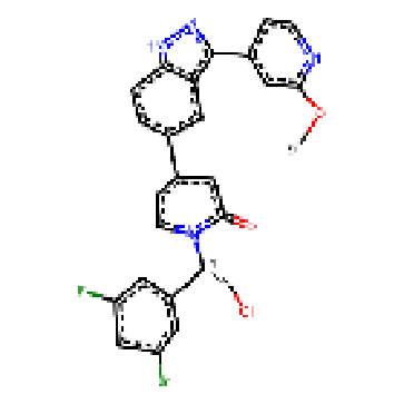 CCOc1cc(-c2n[nH]c3ccc(-c4ccn([C@H](CO)c5cc(F)cc(Br)c5)c(=O)c4)cc23)ccn1